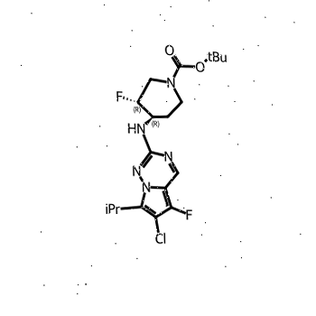 CC(C)c1c(Cl)c(F)c2cnc(N[C@@H]3CCN(C(=O)OC(C)(C)C)C[C@H]3F)nn12